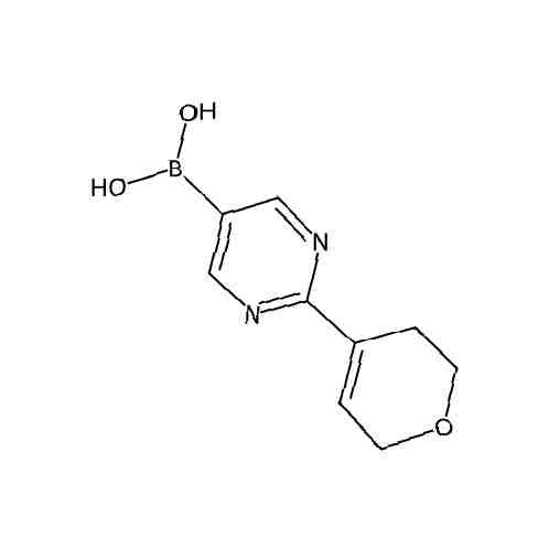 OB(O)c1cnc(C2=CCOCC2)nc1